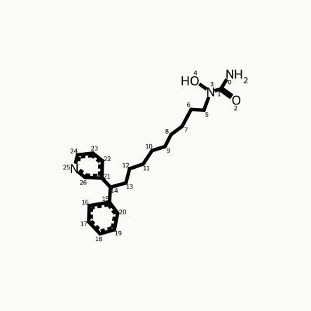 NC(=O)N(O)CCCCCCCCCC(c1ccccc1)c1cccnc1